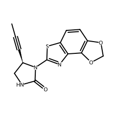 CC#C[C@@H]1CNC(=O)N1c1nc2c3c(ccc2s1)OCO3